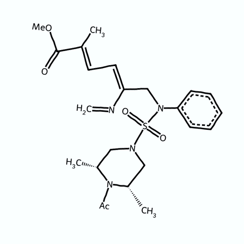 C=N/C(=C\C=C(/C)C(=O)OC)CN(c1ccccc1)S(=O)(=O)N1C[C@@H](C)N(C(C)=O)[C@@H](C)C1